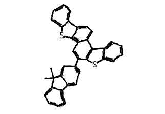 CC1(C)c2ccccc2-c2ccc(-c3cc4c(ccc5c6ccccc6sc54)c4c3sc3ccccc34)cc21